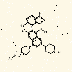 CCOc1c(-c2c(C)ccc3[nH]ncc23)c(Cl)cc2c(N3CCC4(CC3)CN(C(C)=O)C4)nc(C3CCN(C)CC3)nc12